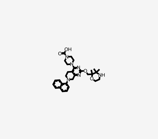 CC1(C)NCCOC1(C)COc1nc2c(c(N3CCN(C(=O)O)CC3)n1)CCN(c1cccc3ccccc13)C2